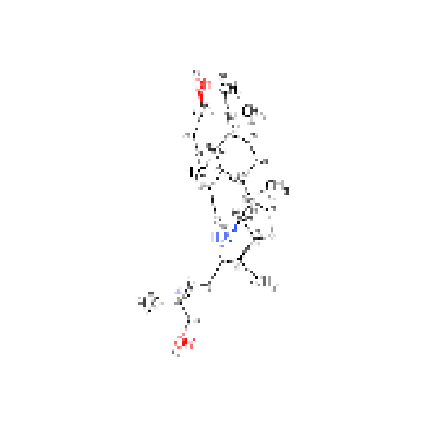 C/C(=C/CCC(C)[C@@H]1CC[C@]2(C)C3=C(CC[C@@]12N)[C@@]1(C)CC[C@@H](O)C(C)(C)C1CC3)CO